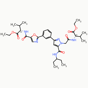 CCOC(=O)[C@@H](NC(=O)Cn1nc(-c2cccc(-c3ncc(C(=O)N[C@H](C(=O)OCC)C(C)C)o3)c2)cc1C(=O)NC(CC)CC)C(C)C